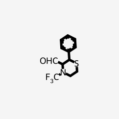 O=CC1C(c2ccccc2)SCCN1C(F)(F)F